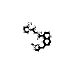 Cn1ncc(Cc2ccc3nccc(C(=O)NCC(=O)N4CSC[C@H]4C#N)c3c2)n1